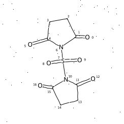 O=C1CCC(=O)N1S(=O)(=O)N1C(=O)CCC1=O